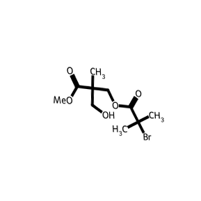 COC(=O)C(C)(CO)COC(=O)C(C)(C)Br